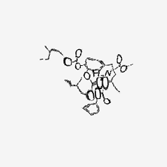 CCC(C)COC(=O)Oc1ccc(C[C@](N)(CC(C)OC(=O)Oc2ccccc2)C(=O)OC)cc1OC(=O)OCC(C)CC